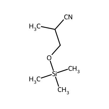 CC(C#N)CO[Si](C)(C)C